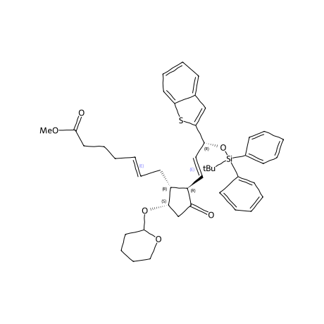 COC(=O)CCC/C=C/C[C@H]1[C@@H](OC2CCCCO2)CC(=O)[C@@H]1/C=C/[C@@H](O[Si](c1ccccc1)(c1ccccc1)C(C)(C)C)c1cc2ccccc2s1